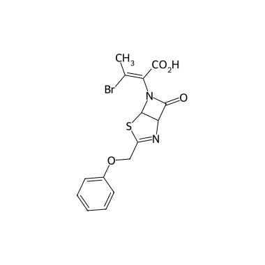 CC(Br)=C(C(=O)O)N1C(=O)C2N=C(COc3ccccc3)SC21